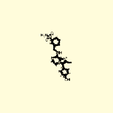 Cc1nc2c(NCc3cccc(S(N)(=O)=O)c3)nccn2c1-c1ccc(O)cc1